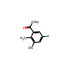 COC(=O)c1cc(F)cc(N=O)c1C